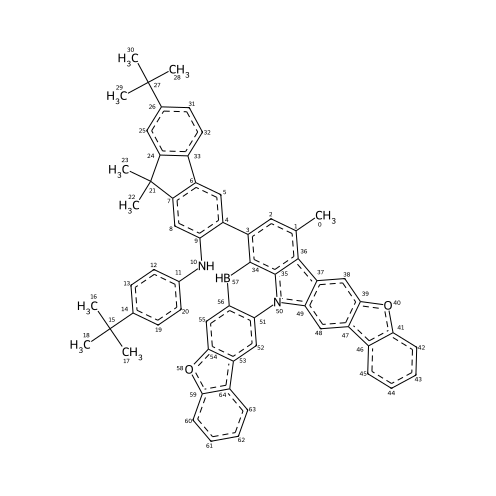 Cc1cc(-c2cc3c(cc2Nc2ccc(C(C)(C)C)cc2)C(C)(C)c2cc(C(C)(C)C)ccc2-3)c2c3c1c1cc4oc5ccccc5c4cc1n3-c1cc3c(cc1B2)oc1ccccc13